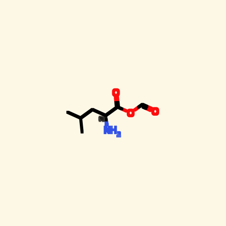 CC(C)C[C@H](N)C(=O)OC=O